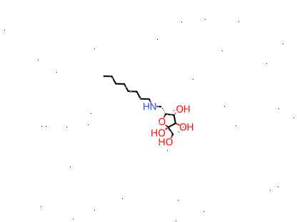 CCCCCCCCNC[C@H]1O[C@@](O)(CO)[C@H](O)[C@H]1O